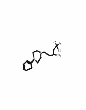 CCC(CC)(CC(C)CCN1CCN(c2ccccc2)CC1)C(C)=O